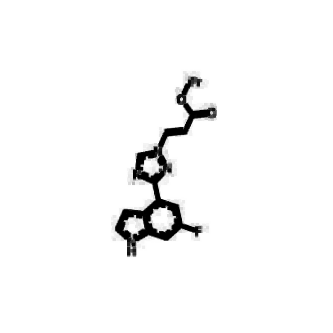 CC(C)OC(=O)C=Cn1cnc(-c2cc(F)cc3[nH]ccc23)n1